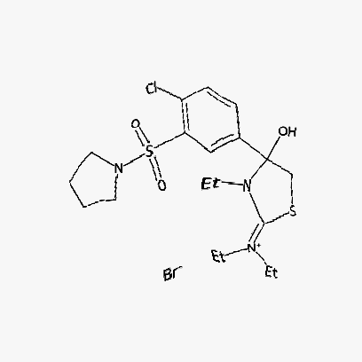 CCN1C(=[N+](CC)CC)SCC1(O)c1ccc(Cl)c(S(=O)(=O)N2CCCC2)c1.[Br-]